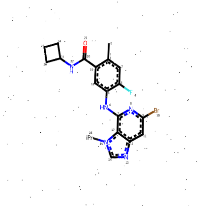 Cc1cc(F)c(Nc2nc(Br)cc3ncn(C(C)C)c23)cc1C(=O)NC1CCC1